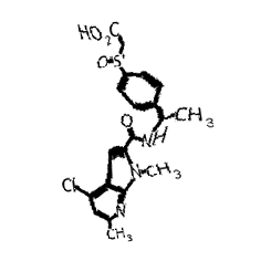 Cc1cc(Cl)c2cc(C(=O)N[C@H](C)c3ccc([S+]([O-])CC(=O)O)cc3)n(C)c2n1